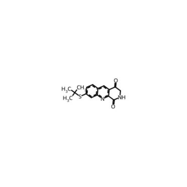 CC(C)(C)Sc1ccc2cc3c(nc2c1)C(=O)NCC3=O